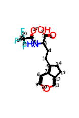 O=C(O)C(CCC1=C2C=COC=C2CC1)NC(=O)C(F)(F)F